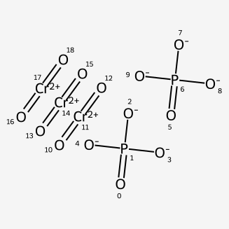 O=P([O-])([O-])[O-].O=P([O-])([O-])[O-].[O]=[Cr+2]=[O].[O]=[Cr+2]=[O].[O]=[Cr+2]=[O]